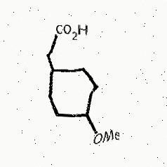 COC1CCC(CC(=O)O)CC1